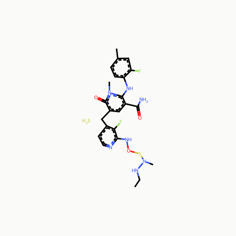 CCNN(C)SONc1nccc(Cc2cc(C(N)=O)c(Nc3ccc(C)cc3F)n(C)c2=O)c1F.S